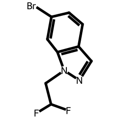 FC(F)Cn1ncc2ccc(Br)cc21